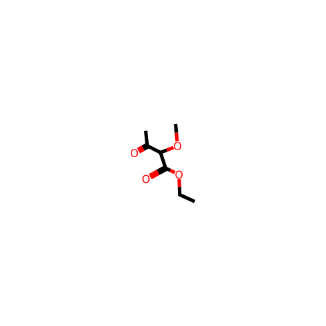 CCOC(=O)C(OC)C(C)=O